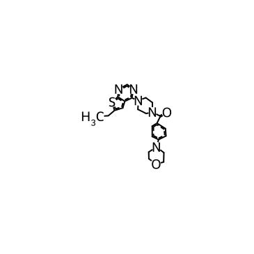 CCc1cc2c(N3CCN(C(=O)c4ccc(N5CCOCC5)cc4)CC3)ncnc2s1